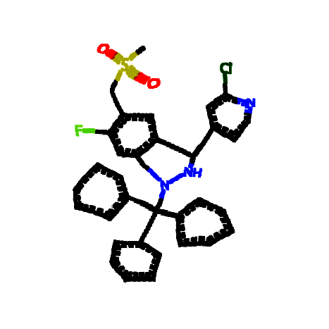 CS(=O)(=O)Cc1cc2c(cc1F)N(C(c1ccccc1)(c1ccccc1)c1ccccc1)NC2c1ccnc(Cl)c1